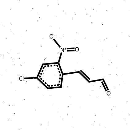 O=C/C=C/c1ccc(Cl)cc1[N+](=O)[O-]